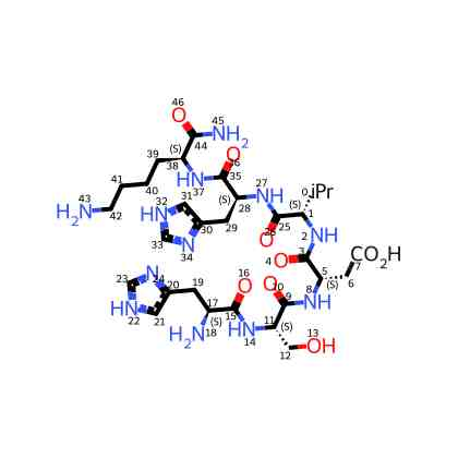 CC(C)[C@H](NC(=O)[C@H](CC(=O)O)NC(=O)[C@H](CO)NC(=O)[C@@H](N)Cc1c[nH]cn1)C(=O)N[C@@H](Cc1c[nH]cn1)C(=O)N[C@@H](CCCCN)C(N)=O